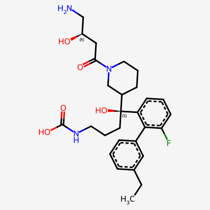 CCc1cccc(-c2c(F)cccc2[C@](O)(CCCNC(=O)O)C2CCCN(C(=O)C[C@@H](O)CN)C2)c1